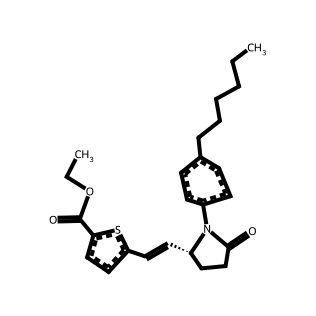 CCCCCCc1ccc(N2C(=O)CC[C@@H]2C=Cc2ccc(C(=O)OCC)s2)cc1